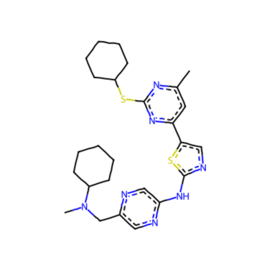 Cc1cc(-c2cnc(Nc3cnc(CN(C)C4CCCCC4)cn3)s2)nc(SC2CCCCC2)n1